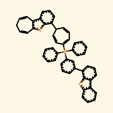 C1=CC(c2cccc3c4c(sc23)C=CCC=C4)C=CC(S(c2ccccc2)(c2ccccc2)c2cccc(-c3cccc4c3sc3ccccc34)c2)=C1